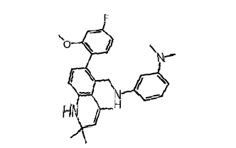 COc1cc(F)ccc1-c1ccc2c(c1CNc1cccc(N(C)C)c1)C(C)=CC(C)(C)N2